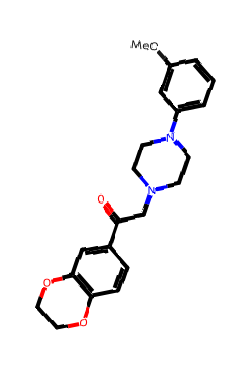 COc1cccc(N2CCN(CC(=O)c3ccc4c(c3)OCCO4)CC2)c1